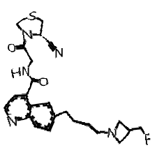 N#C[C@@H]1CSCN1C(=O)CNC(=O)c1ccnc2ccc(CCCCN3CC(CF)C3)cc12